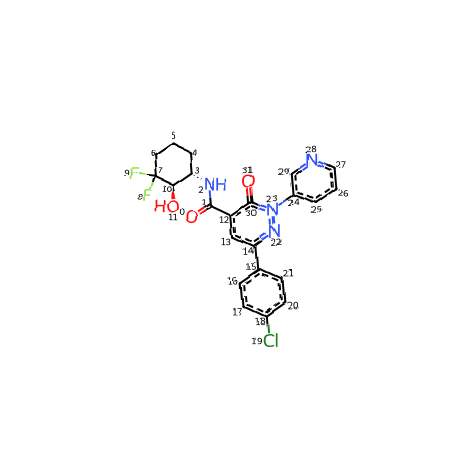 O=C(N[C@H]1CCCC(F)(F)[C@@H]1O)c1cc(-c2ccc(Cl)cc2)nn(-c2cccnc2)c1=O